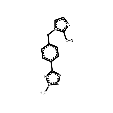 Cn1nnc(-c2ccc(Cn3[c]cnc3C=O)cc2)n1